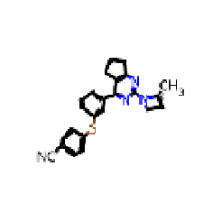 C[C@H]1CCN1c1nc2c(c(-c3cccc(Sc4ccc(C#N)cc4)c3)n1)CCC2